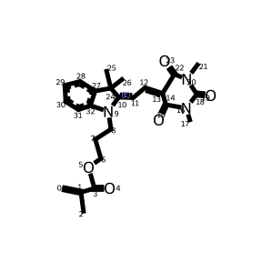 C=C(C)C(=O)OCCCN1/C(=C/C=C2C(=O)N(C)C(=O)N(C)C2=O)C(C)(C)c2ccccc21